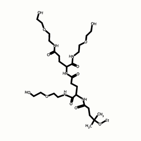 CCOC(C)(C)CCC(=O)NC(CCC(=O)NC(CCC(=O)NCCOCCO)C(=O)NCCOCCO)C(=O)NCCOCCO